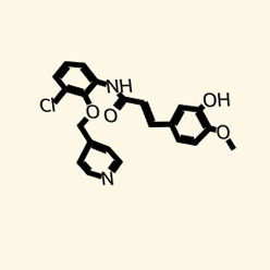 COc1ccc(/C=C/C(=O)Nc2cccc(Cl)c2OCc2ccncc2)cc1O